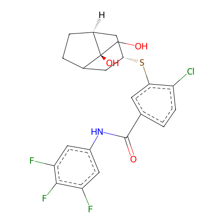 O=C(Nc1cc(F)c(F)c(F)c1)c1ccc(Cl)c(S[C@@H]2CC3CC[C@@H](C2)[C@]3(O)CO)c1